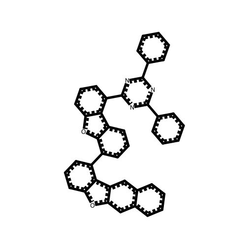 c1ccc(-c2nc(-c3ccccc3)nc(-c3cccc4oc5c(-c6cccc7oc8cc9ccccc9cc8c67)cccc5c34)n2)cc1